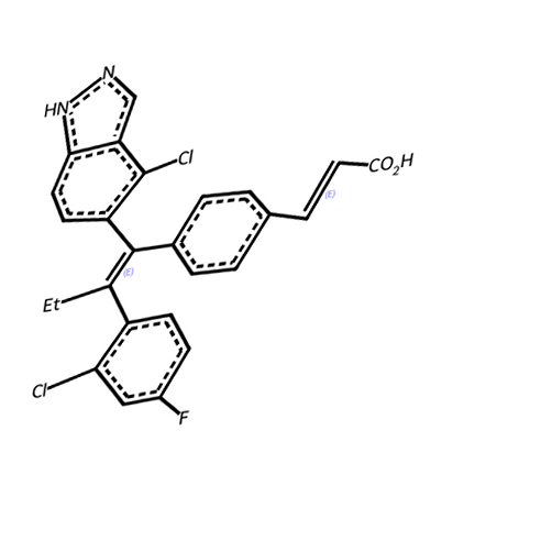 CC/C(=C(/c1ccc(/C=C/C(=O)O)cc1)c1ccc2[nH]ncc2c1Cl)c1ccc(F)cc1Cl